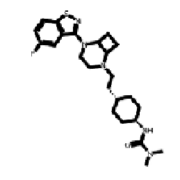 CN(C)C(=O)N[C@H]1CC[C@H](CCN2CCN(c3nsc4ccc(F)cc34)C3CCC32)CC1